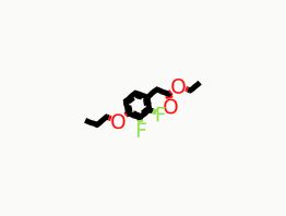 CCCOc1ccc(CC(=O)OCC)c(F)c1F